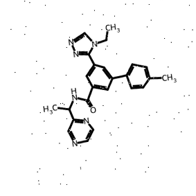 CCn1cnnc1-c1cc(C(=O)NC(C)c2cnccn2)cc(-c2ccc(C)cc2)c1